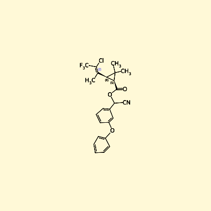 C/C(=C(/Cl)C(F)(F)F)[C@@H]1[C@H](C(=O)OC(C#N)c2cccc(Oc3ccccc3)c2)C1(C)C